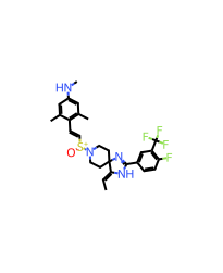 CC=C1NC(c2ccc(F)c(C(F)(F)F)c2)=NC12CCN([S+]([O-])/C=C/c1c(C)cc(NC)cc1C)CC2